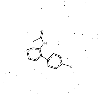 O=C1Cc2cccc(-c3ccc(Cl)cc3)c2N1